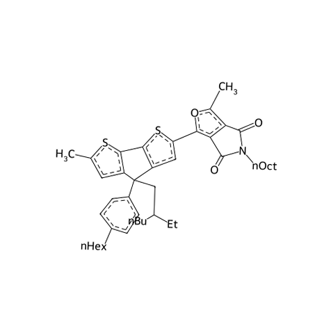 CCCCCCCCN1C(=O)c2c(C)oc(-c3cc4c(s3)-c3sc(C)cc3C4(CC(CC)CCCC)c3ccc(CCCCCC)cc3)c2C1=O